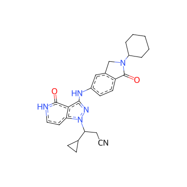 N#CCC(C1CC1)n1nc(Nc2ccc3c(c2)CN(C2CCCCC2)C3=O)c2c(=O)[nH]ccc21